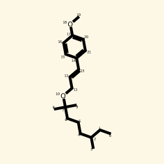 CCC(C)CCCC(C)(C)OCC=Cc1ccc(OC)cc1